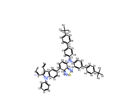 C=Cc1c(/C=C\C)n(-c2ccccc2)c2ccc(-c3ccc(N(c4ccc(-c5ccc(C(C)(C)C)cc5)cc4)c4ccc(-c5ccc(C(C)(C)C)cc5)cc4)c4nsnc34)cc12